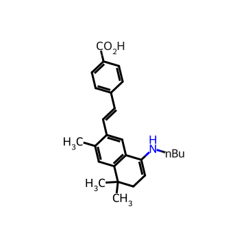 CCCCNC1=CCC(C)(C)c2cc(C)c(C=Cc3ccc(C(=O)O)cc3)cc21